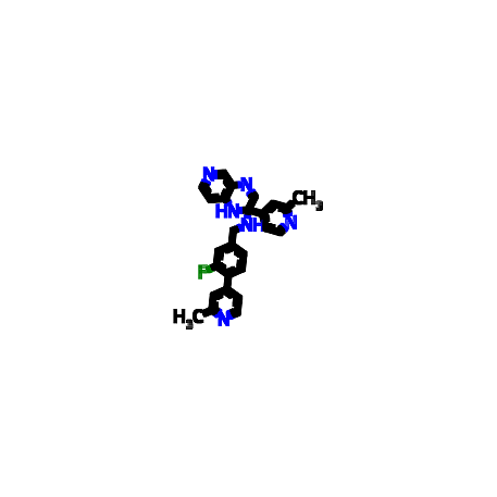 Cc1cc(-c2ccc(CNC3(c4ccnc(C)c4)C=Nc4cnccc4N3)cc2F)ccn1